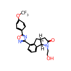 O=C1C[C@H]2Cc3c(-c4noc(-c5ccc(OC(F)(F)F)cc5)n4)cccc3[C@H]2N1CCO